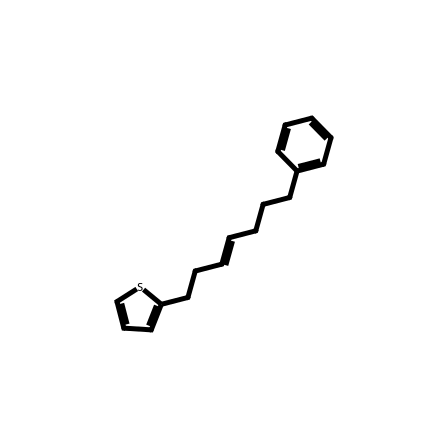 C(=CCCc1cccs1)CCCc1ccccc1